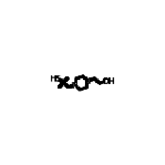 CC(C)(S)CN1CCN(CCO)CC1